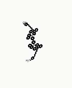 C=Cc1ccc(CCCCCCCC2(c3ccccc3)c3ccccc3-c3ccc(N(c4ccc(-c5ccc(N(c6ccc7c(c6)C(CCCCCCCc6ccc(C=C)cc6)(c6ccccc6)C6C=CC=CC76)c6cccc7ccccc67)cc5)cc4)c4cccc5ccccc45)cc32)cc1